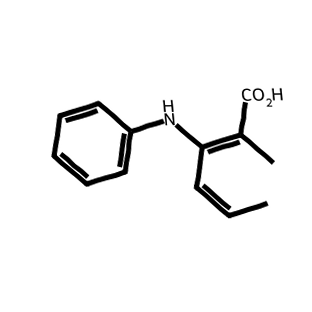 C/C=C\C(Nc1ccccc1)=C(/C)C(=O)O